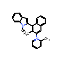 Cc1c(-[n+]2ccccc2C)cc2ccccc2c1-c1cc2ccccc2n1C